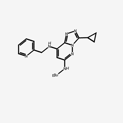 CC(C)(C)Nc1cc(NCc2ccccn2)c2nnc(C3CC3)n2n1